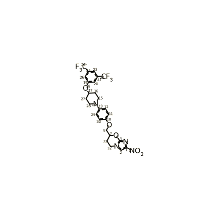 O=[N+]([O-])c1cn2c(n1)OC(COc1ccc(N3CCC(Oc4cc(C(F)(F)F)cc(C(F)(F)F)c4)CC3)cc1)CC2